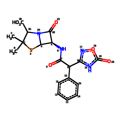 CC1(C)SC2[C@H](NC(=O)C(c3ccccc3)c3noc(=O)[nH]3)C(=O)N2C1C(=O)O